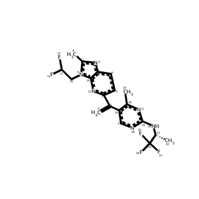 C=C(c1ccc2nc(C)n(CC(F)F)c2n1)c1cnc(N[C@H](C)C(F)(F)F)nc1C